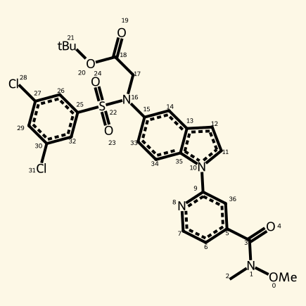 CON(C)C(=O)c1ccnc(-n2ccc3cc(N(CC(=O)OC(C)(C)C)S(=O)(=O)c4cc(Cl)cc(Cl)c4)ccc32)c1